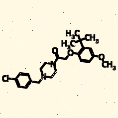 COc1ccc(OCC(=O)N2CCN(Cc3ccc(Cl)cc3)CC2)c(C(C)(C)C)c1